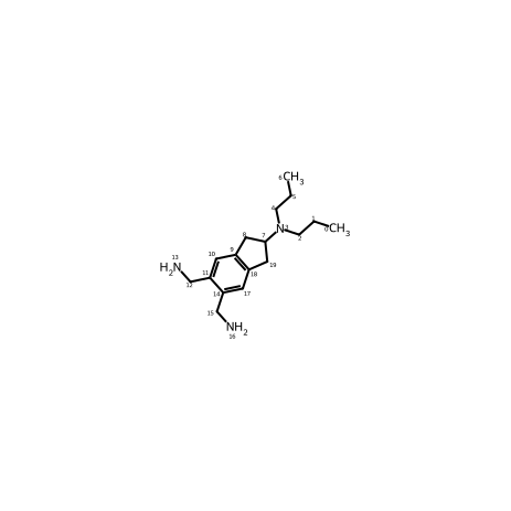 CCCN(CCC)C1Cc2cc(CN)c(CN)cc2C1